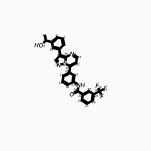 CC(O)c1cccc(-c2cnn3c(-c4cccc(NC(=O)c5cccc(C(F)(F)F)c5)c4)ccnc23)c1